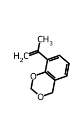 C=C(C)c1cccc2c1OCOC2